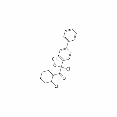 COC(Cl)(C(=O)N1CCCCC1Cl)c1ccc(-c2[c]cccc2)cc1